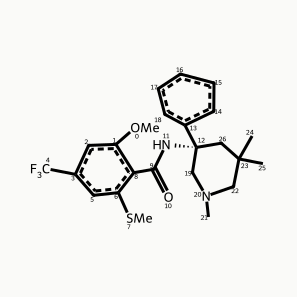 COc1cc(C(F)(F)F)cc(SC)c1C(=O)N[C@@]1(c2ccccc2)CN(C)CC(C)(C)C1